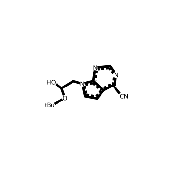 CC(C)(C)OC(O)Cn1ccc2c(C#N)ncnc21